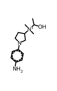 CC(O)[N+](C)(C)C1CCN(c2ccc(N)cc2)C1